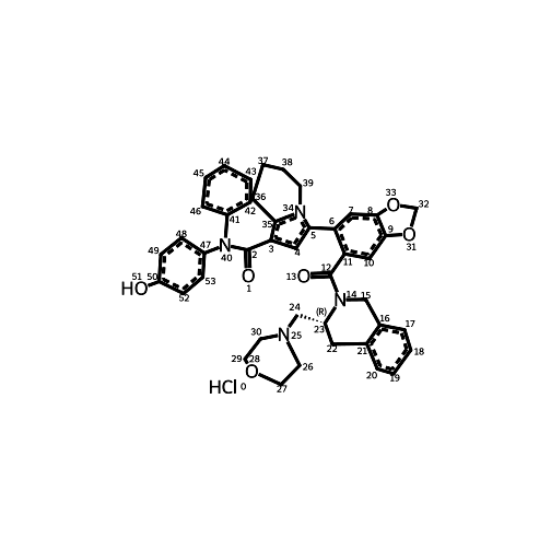 Cl.O=C(c1cc(-c2cc3c(cc2C(=O)N2Cc4ccccc4C[C@@H]2CN2CCOCC2)OCO3)n2c1CCCC2)N(c1ccccc1)c1ccc(O)cc1